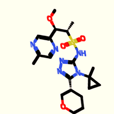 CO[C@H](c1cnc(C)cn1)[C@H](C)S(=O)(=O)Nc1nnc([C@@H]2CCCOC2)n1C1(C)CC1